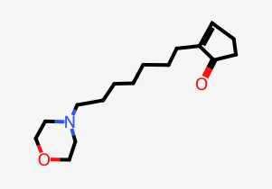 O=C1CCC=C1CCCCCCCN1CCOCC1